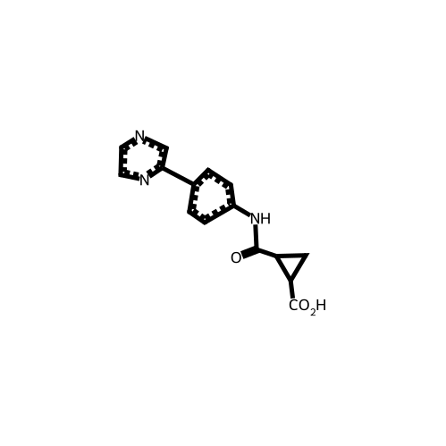 O=C(O)C1CC1C(=O)Nc1ccc(-c2cnccn2)cc1